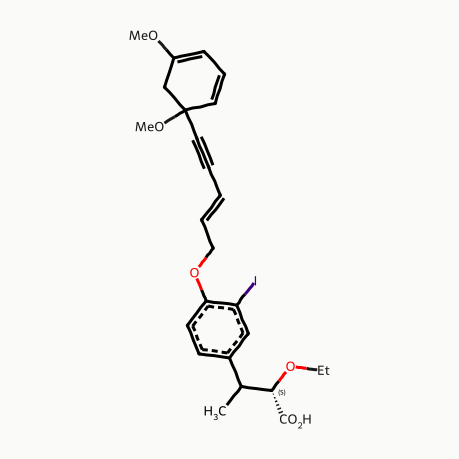 CCO[C@H](C(=O)O)C(C)c1ccc(OCC=CC#CC2(OC)C=CC=C(OC)C2)c(I)c1